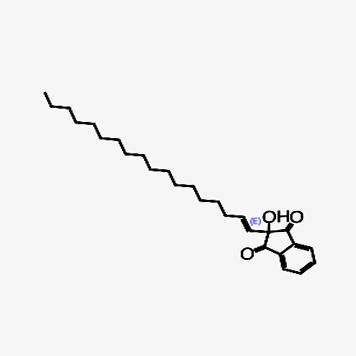 CCCCCCCCCCCCCCCC/C=C/C1(O)C(=O)c2ccccc2C1=O